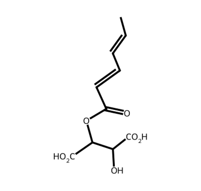 CC=CC=CC(=O)OC(C(=O)O)C(O)C(=O)O